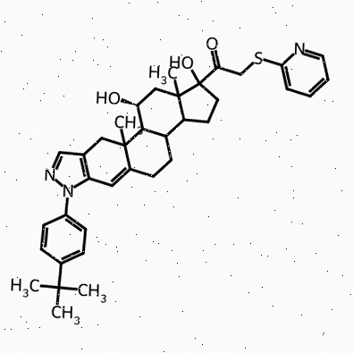 CC(C)(C)c1ccc(-n2ncc3c2C=C2CCC4C([C@@H](O)CC5(C)C4CCC5(O)C(=O)CSc4ccccn4)C2(C)C3)cc1